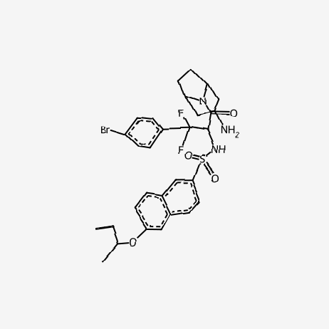 CCC(C)Oc1ccc2cc(S(=O)(=O)NC(C(=O)N3C4CCC3CC(N)C4)C(F)(F)c3ccc(Br)cc3)ccc2c1